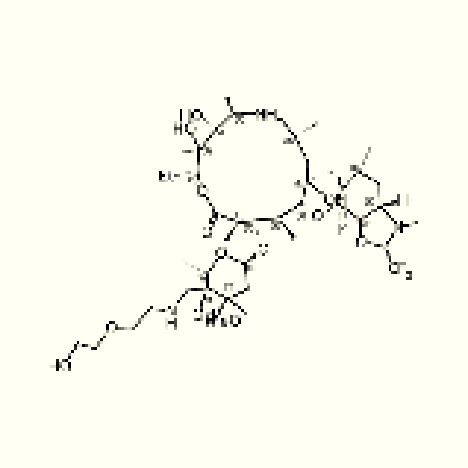 CC[C@H]1OC(=O)[C@H](C)[C@@H](O[C@H]2C[C@@](C)(OC)[C@](O)(CNCCOCCO)[C@H](C)O2)[C@H](C)[C@@H](O[C@@H]2O[C@H](C)C[C@H]3[C@H]2OC(C(F)(F)F)N3C)[C@](C)(O)C[C@@H](C)CN[C@H](C)[C@@H](O)[C@]1(C)O